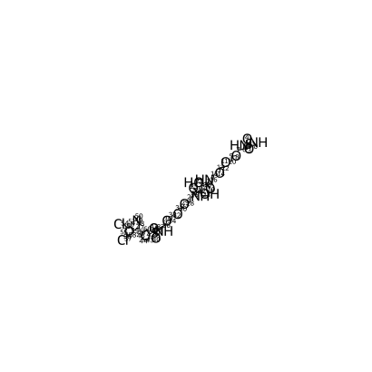 CNS(=O)(=O)NCCOCCOCCOCCNC(=O)[C@H](O)[C@@H](O)C(=O)NCCOCCOCCOCCNS(=O)(=O)c1cccc([C@@H]2CN(C)Cc3c(Cl)cc(Cl)cc32)c1